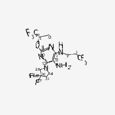 C[C@H](Oc1nc(NCCC(F)(F)F)c(N)c(N2CCC(F)(F)C2)n1)C(F)(F)F